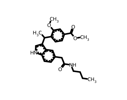 CCCCNC(=O)Cc1ccc2[nH]cc(C(C)c3ccc(C(=O)OC)cc3OC)c2c1